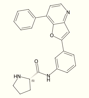 O=C(Nc1cccc(-c2cc3nccc(-c4ccccc4)c3o2)c1)[C@@H]1CCCN1